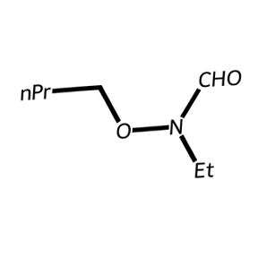 [CH2]CN(C=O)OCCCC